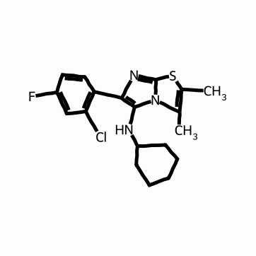 Cc1sc2nc(-c3ccc(F)cc3Cl)c(NC3CCCCC3)n2c1C